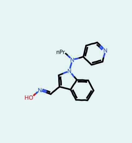 CCCN(c1ccncc1)n1cc(C=NO)c2ccccc21